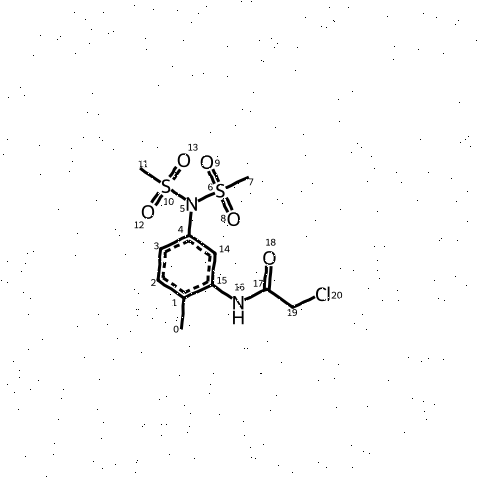 Cc1ccc(N(S(C)(=O)=O)S(C)(=O)=O)cc1NC(=O)CCl